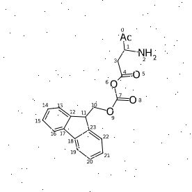 CC(=O)C(N)CC(=O)OC(=O)OCC1c2ccccc2-c2ccccc21